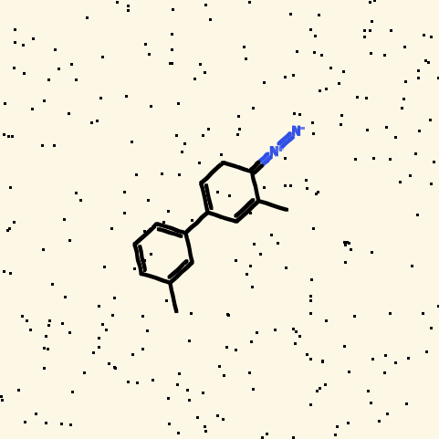 CC1=CC(c2cccc(C)c2)=CCC1=[N+]=[N-]